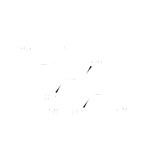 O=C(CO)[C@H](O)[C@@H](O)[C@H](O)CO.[AlH3]